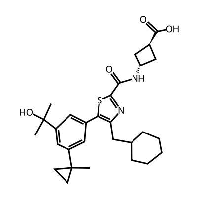 CC(C)(O)c1cc(-c2sc(C(=O)N[C@H]3C[C@H](C(=O)O)C3)nc2CC2CCCCC2)cc(C2(C)CC2)c1